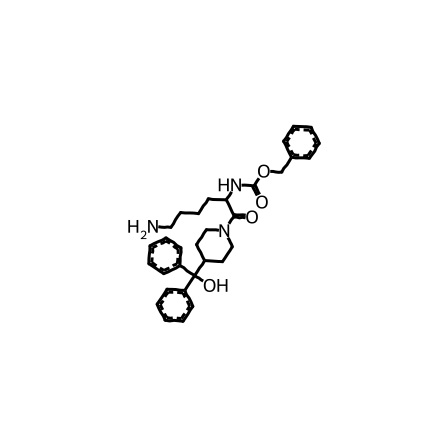 NCCCCC(NC(=O)OCc1ccccc1)C(=O)N1CCC(C(O)(c2ccccc2)c2ccccc2)CC1